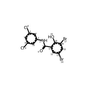 O=C(Nc1cc(Cl)cc(Cl)c1)c1cc(Br)cc(Br)c1O